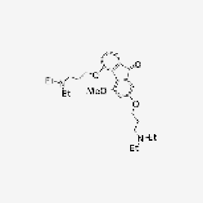 CCN(CC)CCCOc1cc(OC)c2c(c1)C(=O)c1cccc(OCCCN(CC)CC)c1-2